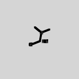 C[Si](C)CCl.Cl